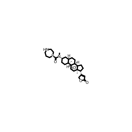 CN(C(=O)N1CCCNCC1)[C@H]1CC[C@@]2(C)[C@H](CC[C@@H]3[C@@H]2CC[C@]2(C)[C@@H](C4=CC(=O)OC4)CC[C@]32O)C1